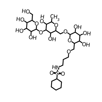 CC1OC(COC2OC(COCCCNS(=O)(=O)C3CCCCC3)C(O)C(O)C2O)C(O)C(OC2OC(CO)C(O)C(O)C2O)C1O